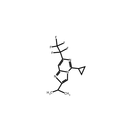 CC(C)c1cn2c(C3CC3)nc(C(F)(F)C(F)(F)F)cc2n1